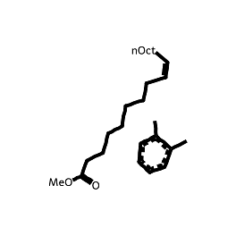 CCCCCCCC/C=C\CCCCCCCC(=O)OC.Cc1ccccc1C